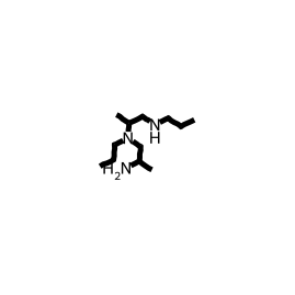 CCCNCC(C)N(CCC)CC(C)N